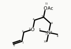 C=CCOCC(C[N+](C)(C)C)OC(C)=O